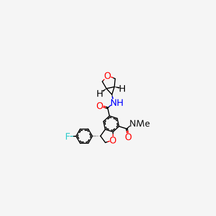 CNC(=O)c1cc(C(=O)N[C@H]2[C@@H]3COC[C@@H]32)cc2c1OC[C@@H]2c1ccc(F)cc1